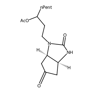 CCCCCC(CCN1C(=O)N[C@H]2CC(=O)C[C@H]21)OC(C)=O